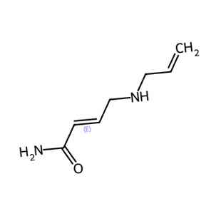 C=CCNC/C=C/C(N)=O